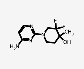 CC1(O)CCN(c2nccc(N)n2)CC1(F)F